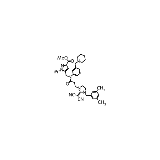 COC(=O)c1cc(CN(C(=O)CCN2CCN(Cc3cc(C)cc(C)c3)C2=C(C#N)C#N)c2cccc(CN3CCCCC3)c2)n(C(C)C)n1